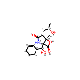 CB(O)C[C@H]1C(=O)N[C@@]2([C@@H](O)[C@@H]3C=CCCC3)C(=O)O[C@@]12C